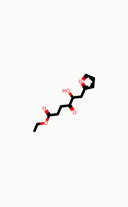 CCOC(=O)CCC(=O)C(O)Cc1ccco1